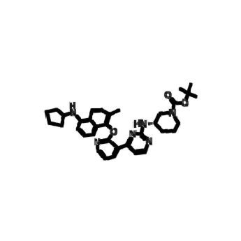 Cc1ccc2c(NC3CCCC3)cccc2c1Oc1ncccc1-c1ccnc(N[C@H]2CCCN(C(=O)OC(C)(C)C)C2)n1